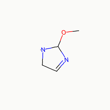 COC1[N]CC=N1